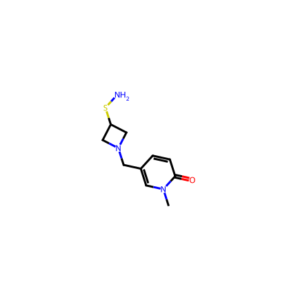 Cn1cc(CN2CC(SN)C2)ccc1=O